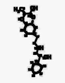 C[C@H](Oc1ccc(CCNC[C@H](O)c2ccccc2)cc1)C(=O)O